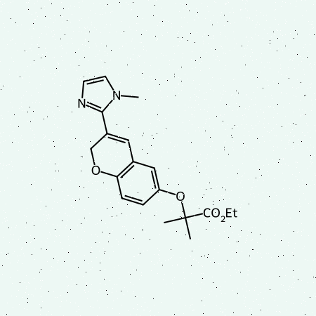 CCOC(=O)C(C)(C)Oc1ccc2c(c1)C=C(c1nccn1C)CO2